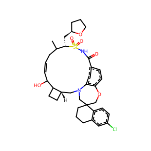 CC1CC=CC(O)C2CC[C@H]2CN2CC3(CCCc4cc(Cl)ccc43)COc3ccc(cc32)C(=O)NS(=O)(=O)[C@H]1C[C@H]1CCCO1